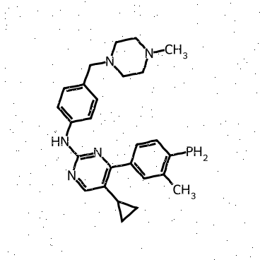 Cc1cc(-c2nc(Nc3ccc(CN4CCN(C)CC4)cc3)ncc2C2CC2)ccc1P